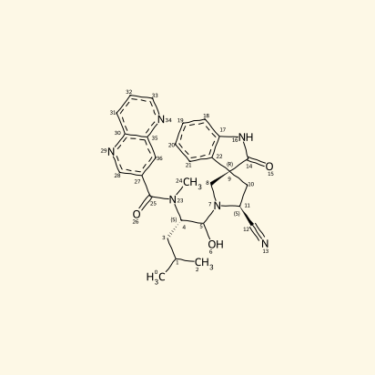 CC(C)C[C@@H](C(O)N1C[C@]2(C[C@H]1C#N)C(=O)Nc1ccccc12)N(C)C(=O)c1cnc2cccnc2c1